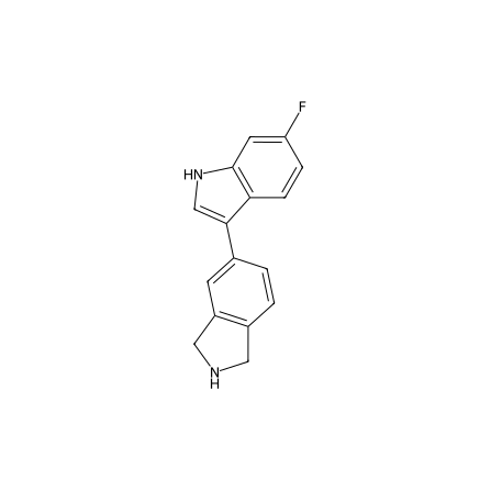 Fc1ccc2c(-c3ccc4c(c3)CNC4)c[nH]c2c1